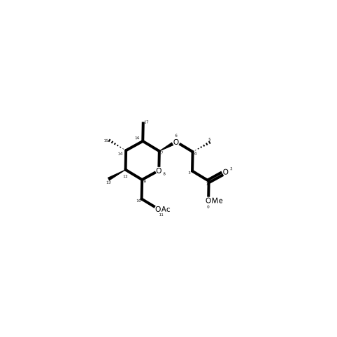 COC(=O)C[C@@H](C)O[C@H]1OC(COC(C)=O)[C@@H](C)[C@H](C)C1C